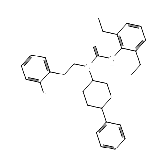 CCc1cccc(CC)c1NC(=O)N(CCc1ccccc1Cl)C1CCC(c2ccccc2)CC1